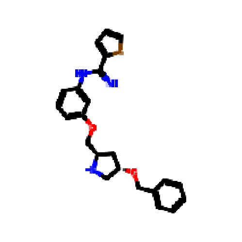 N=C(Nc1cccc(OC[C@H]2C[C@H](OCc3ccccc3)CN2)c1)c1cccs1